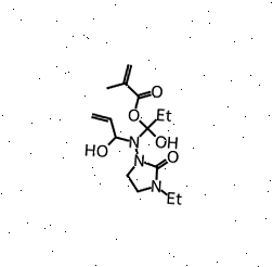 C=CC(O)N(N1CCN(CC)C1=O)C(O)(CC)OC(=O)C(=C)C